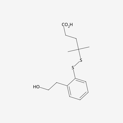 CC(C)(CCC(=O)O)SSc1ccccc1CCO